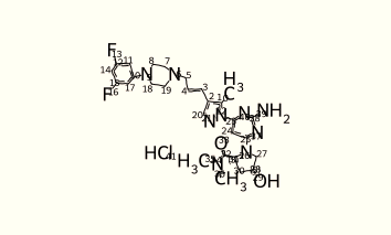 Cc1c(C=CCN2CCN(c3cc(F)cc(F)c3)CC2)cnn1-c1cc(N2C[C@@H](O)C[C@H]2C(=O)N(C)C)nc(N)n1.Cl